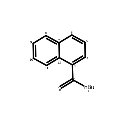 [CH]=C(CCCC)c1cccc2ccccc12